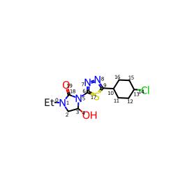 CCN1CC(O)N(c2nnc(C3CCC(Cl)CC3)s2)C1=O